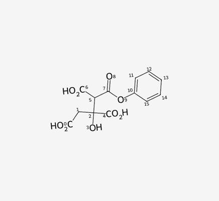 O=C(O)CC(O)(C(=O)O)C(C(=O)O)C(=O)Oc1ccccc1